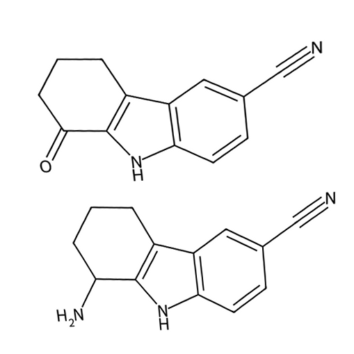 N#Cc1ccc2[nH]c3c(c2c1)CCCC3=O.N#Cc1ccc2[nH]c3c(c2c1)CCCC3N